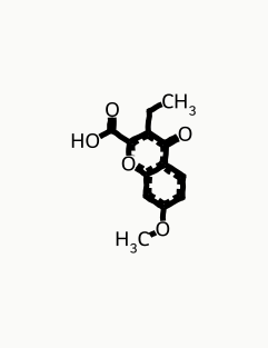 CCc1c(C(=O)O)oc2cc(OC)ccc2c1=O